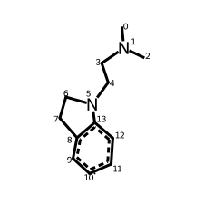 CN(C)CCN1CCc2c[c]ccc21